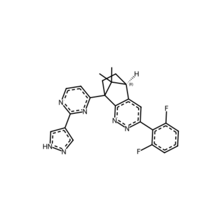 CC1(C)[C@H]2CCC1(c1ccnc(-c3cn[nH]c3)n1)c1nnc(-c3c(F)cccc3F)cc12